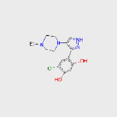 CCN1CCN(c2c[nH]nc2-c2cc(Cl)c(O)cc2O)CC1